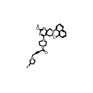 COc1nc2c(c(N3CCN(C(=O)C#CCN4CCC(F)C4)CC3)n1)CCN(c1cccc3cccc(Cl)c13)C2